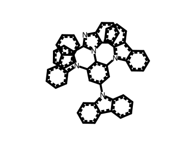 c1ccc(-c2nc3ccccc3n2-c2c(-n3c4ccccc4c4ccccc43)cc(-n3c4ccccc4c4ccccc43)cc2-n2c3ccccc3c3ccccc32)cc1